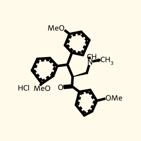 COc1cccc(C(=O)[C@H](CN(C)C)C(c2cccc(OC)c2)c2cccc(OC)c2)c1.Cl